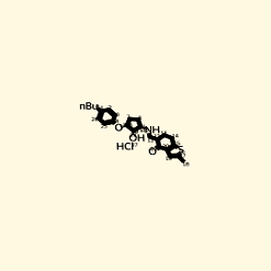 CCCCc1ccc(O[C@@H]2CC[C@@H](NCC3CCc4sc(C)cc4C3=O)[C@@H]2O)cc1.Cl